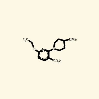 COC1CCN(c2nc(OCC(F)(F)F)ccc2C(=O)O)CC1